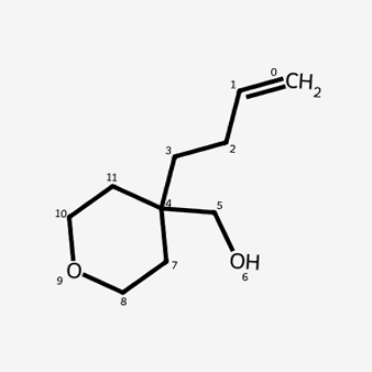 C=CCCC1(CO)CCOCC1